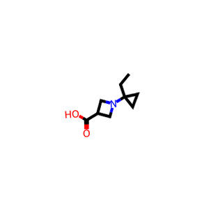 CCC1(N2CC(C(=O)O)C2)CC1